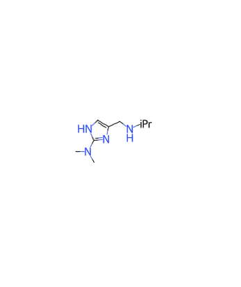 CC(C)NCc1c[nH]c(N(C)C)n1